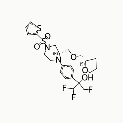 O=S(=O)(c1cccs1)N1CCN(c2ccc(C(O)(CF)C(F)F)cc2)[C@@H](COC[C@@H]2CCCO2)C1